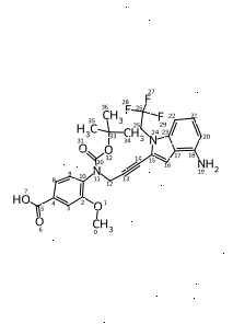 COc1cc(C(=O)O)ccc1N(CC#Cc1cc2c(N)cccc2n1CC(F)(F)F)C(=O)OC(C)(C)C